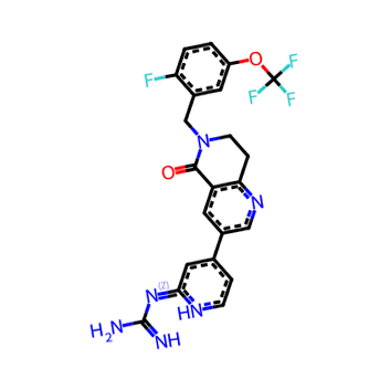 N=C(N)/N=c1/cc(-c2cnc3c(c2)C(=O)N(Cc2cc(OC(F)(F)F)ccc2F)CC3)cc[nH]1